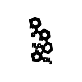 Cc1cccnc1[C@@H]1CCC[C@H](c2cccc(C(=O)c3ccccn3)n2)N1C